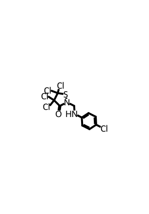 O=C1N(CNc2ccc(Cl)cc2)SC(Cl)(Cl)C1(Cl)Cl